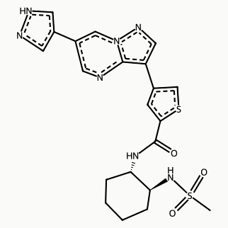 CS(=O)(=O)N[C@H]1CCCC[C@@H]1NC(=O)c1cc(-c2cnn3cc(-c4cn[nH]c4)cnc23)cs1